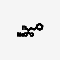 CCC(=CCc1ccccc1)C(=O)OC